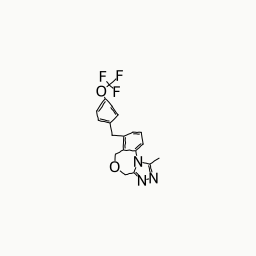 Cc1nnc2n1-c1cccc(Cc3ccc(OC(F)(F)F)cc3)c1COC2